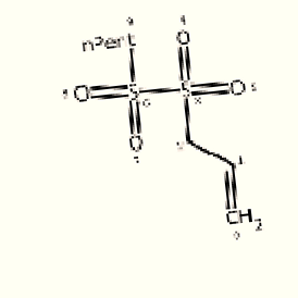 C=CCS(=O)(=O)S(=O)(=O)CCCCC